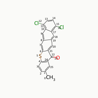 Cc1ccc2sc3cc4cc5c(Cl)ccc(Cl)c5cc4cc3c(=O)c2c1